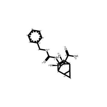 O=C(N[C@H]1C2C=CC(C3CC32)[C@H]1C(=O)O)OCc1ccccc1